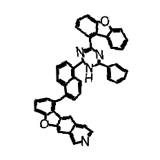 c1ccc(C2=NC(c3cccc4oc5ccccc5c34)=NC(c3cccc4c(-c5cccc6oc7cc8cnccc8cc7c56)cccc34)N2)cc1